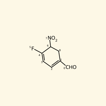 O=CC1=CC=C(F)C([N+](=O)[O-])C1